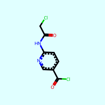 O=C(CCl)Nc1ccc(C(=O)Cl)cn1